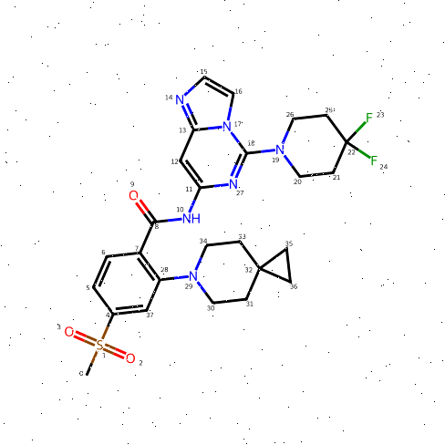 CS(=O)(=O)c1ccc(C(=O)Nc2cc3nccn3c(N3CCC(F)(F)CC3)n2)c(N2CCC3(CC2)CC3)c1